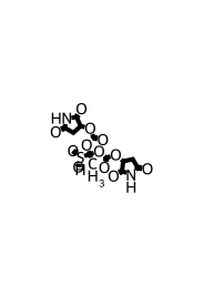 CC(OC(=O)OC1CC(=O)NC1=O)(OC(=O)OC1CC(=O)NC1=O)[SH](=O)=O